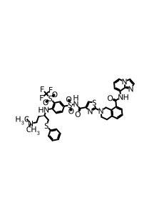 CN(C)CC[C@H](CSc1ccccc1)Nc1ccc(S(=O)(=O)NC(=O)c2csc(N3CCc4cccc(C(=O)Nc5cccn6ccnc56)c4C3)n2)cc1S(=O)(=O)C(F)(F)F